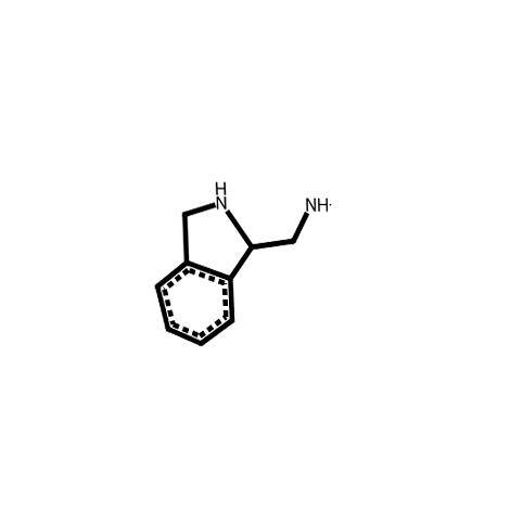 [NH]CC1NCc2ccccc21